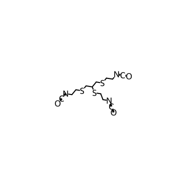 O=C=NCCSCC(CSCCN=C=O)SCCN=C=O